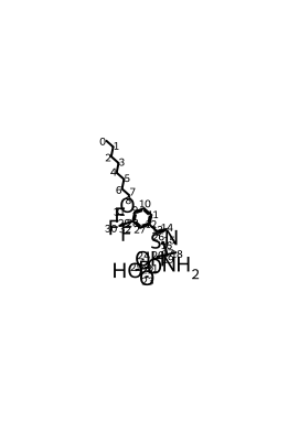 CCCCCCCCOc1ccc(-c2cnc(C(C)(N)COP(=O)(O)O)s2)cc1C(F)(F)F